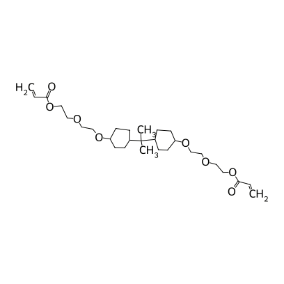 C=CC(=O)OCCOCCOC1CCC(C(C)(C)C2CCC(OCCOCCOC(=O)C=C)CC2)CC1